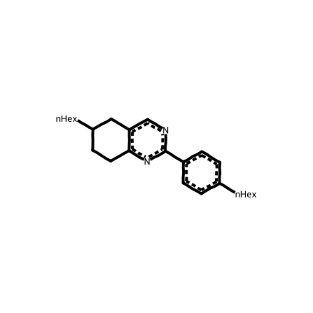 CCCCCCc1ccc(-c2ncc3c(n2)CCC(CCCCCC)C3)cc1